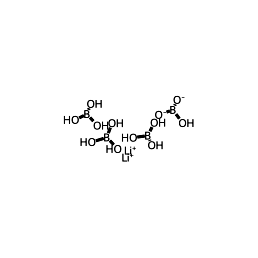 OB(O)O.OB(O)O.OB(O)O.[Li+].[Li+].[O-]B([O-])O